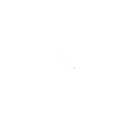 C=N/C(NC(C)CCOC)=C(/C)C(C)=N